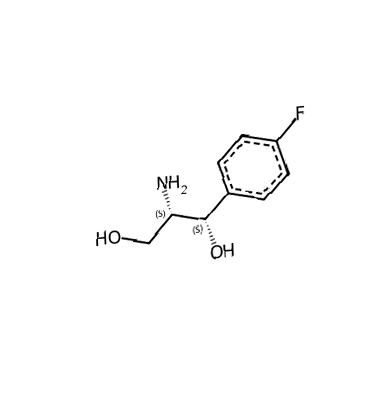 N[C@@H](CO)[C@@H](O)c1ccc(F)cc1